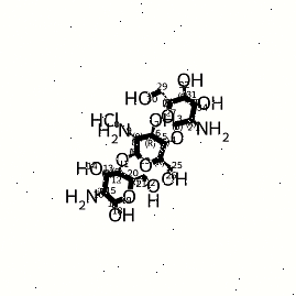 Cl.N[C@H]1[C@H](O[C@H]2[C@H](O)[C@@H](N)[C@H](O[C@H]3[C@H](O)[C@@H](N)C(O)O[C@@H]3CO)O[C@@H]2CO)O[C@H](CO)[C@@H](O)[C@@H]1O